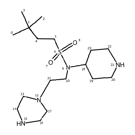 CC(C)(C)CCS(=O)(=O)N(CCN1CCNCC1)C1CCNCC1